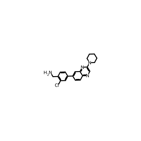 NCc1ccc(-c2ccc3ncc(N4CCCCC4)nc3c2)cc1Cl